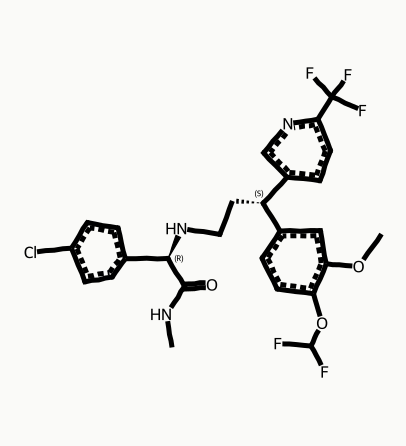 CNC(=O)[C@H](NCC[C@H](c1ccc(C(F)(F)F)nc1)c1ccc(OC(F)F)c(OC)c1)c1ccc(Cl)cc1